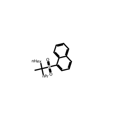 CCCCCCC(C)(CCC)S(=O)(=O)c1cccc2ccccc12